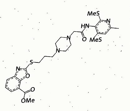 COC(=O)c1cccc2nc(SCCCN3CCN(CC(=O)Nc4c(SC)cc(C)nc4SC)CC3)oc12